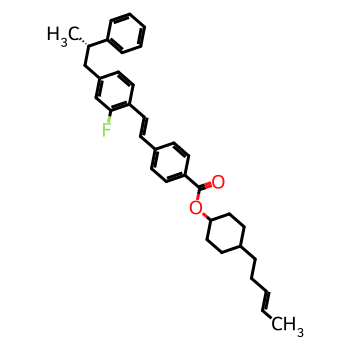 C/C=C/CCC1CCC(OC(=O)c2ccc(C=Cc3ccc(C[C@H](C)c4ccccc4)cc3F)cc2)CC1